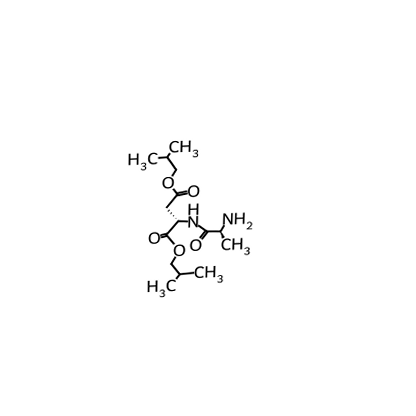 CC(C)COC(=O)C[C@H](NC(=O)[C@H](C)N)C(=O)OCC(C)C